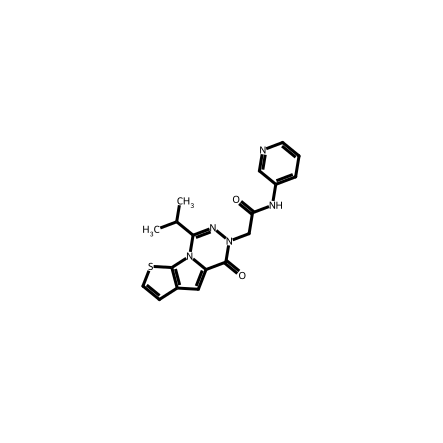 CC(C)c1nn(CC(=O)Nc2cccnc2)c(=O)c2cc3ccsc3n12